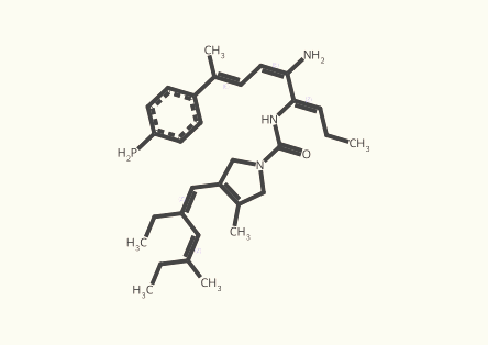 CC/C=C(NC(=O)N1CC(C)=C(/C=C(\C=C(\C)CC)CC)C1)/C(N)=C\C=C(/C)c1ccc(P)cc1